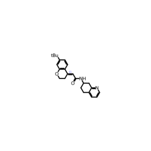 CC(C)(C)c1ccc2c(c1)OCC/C2=C\C(=O)NC1CCc2cccnc2C1